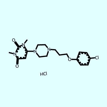 Cl.Cn1c(N2CCN(CCCOc3ccc(Cl)cc3)CC2)cc(=O)n(C)c1=O